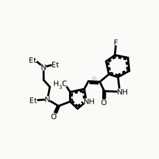 CCN(CC)CCN(CC)C(=O)c1c[nH]c(/C=C2\C(=O)Nc3ccc(F)cc32)c1C